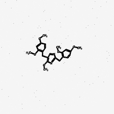 COc1ccc(Cc2ncc(Cc3ccc(OC)cc3OC)c(OC)n2)c(OC)c1